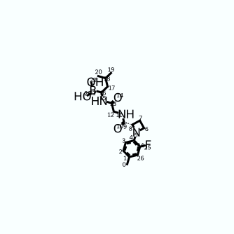 Cc1ccc(N2CC[C@H]2C(=O)NCC(=O)NC(CC(C)C)B(O)O)c(F)c1